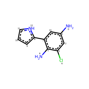 Nc1cc(Cl)c(N)c(-c2ccc[nH]2)c1